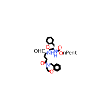 CCCCCOC(=O)N[C@@H](CC1CCCCC1)C(=O)N[C@H](C=O)CCC(=O)N1CCOc2ccccc2C1